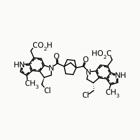 Cc1c[nH]c2c(CC(=O)O)cc3c(c12)[C@H](CCl)CN3C(=O)C12CCC(C(=O)N3C[C@@H](CCl)c4c3cc(CC(=O)O)c3[nH]cc(C)c43)(CC1)C2